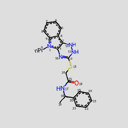 CCCn1c2c(c3ccccc31)NNC(SCC(=O)NC(C)c1ccccc1)=N2